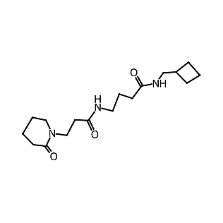 O=C(CCN1CCCCC1=O)NCCCC(=O)NCC1CCC1